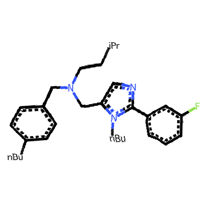 CCCCc1ccc(CN(CCC(C)C)Cc2cnc(-c3cccc(F)c3)n2CCCC)cc1